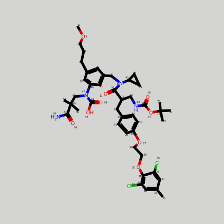 COCCCc1cc(CN(C(=O)C(CNC(=O)OC(C)(C)C)Cc2ccc(OCCOc3c(Cl)cc(C)cc3Cl)cc2)C2CC2)cc(N(CC(C)(C)C(N)=O)C(=O)O)c1